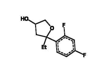 CCC1(c2ccc(F)cc2F)CC(O)CO1